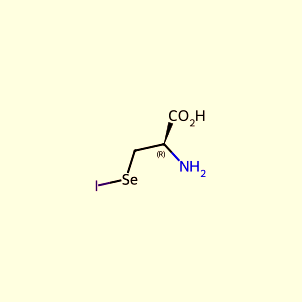 N[C@@H](C[Se]I)C(=O)O